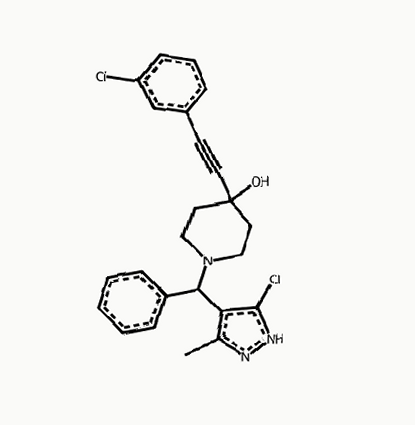 Cc1n[nH]c(Cl)c1C(c1ccccc1)N1CCC(O)(C#Cc2cccc(Cl)c2)CC1